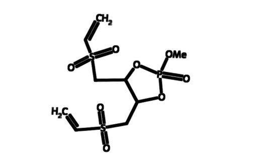 C=CS(=O)(=O)CC1OP(=O)(OC)OC1CS(=O)(=O)C=C